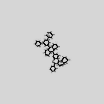 c1ccc(-c2nc3cc(-c4c5ccccc5c(-c5cc(-c6cccnc6)cc(-c6cccnc6)c5)c5ccccc45)ccc3c3c2ccc2ccccc23)cc1